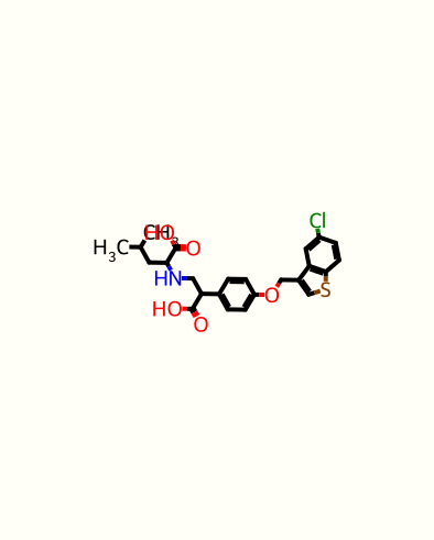 CC(C)CC(NCC(C(=O)O)c1ccc(OCc2csc3ccc(Cl)cc23)cc1)C(=O)O